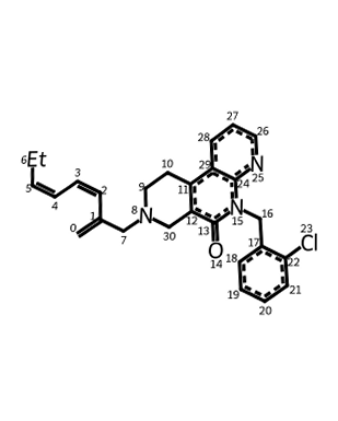 C=C(/C=C\C=C/CC)CN1CCc2c(c(=O)n(Cc3ccccc3Cl)c3ncccc23)C1